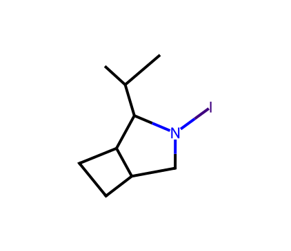 CC(C)C1C2CCC2CN1I